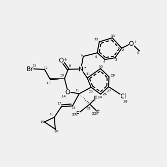 COc1ccc(CN2C(=O)[C@H](CCBr)O[C@@](C=CC3CC3)(C(F)(F)F)c3cc(Cl)ccc32)cc1